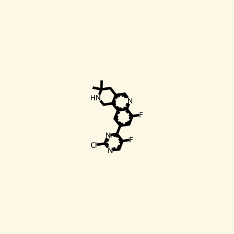 CC1(C)Cc2cnc3c(F)cc(-c4nc(Cl)ncc4F)cc3c2CN1